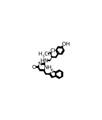 CN(C)[C@H](CNc1nc(=O)cc(Cc2cc3ccccc3s2)[nH]1)Cc1ccc(O)cc1